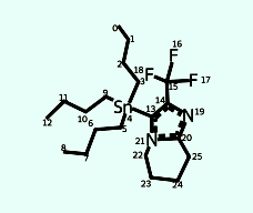 CCC[CH2][Sn]([CH2]CCC)([CH2]CCC)[c]1c(C(F)(F)F)nc2n1CCCC2